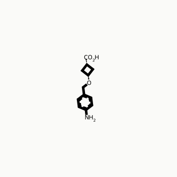 Nc1ccc(CO[C@H]2C[C@@H](C(=O)O)C2)cc1